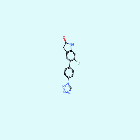 O=C1Cc2cc(-c3ccc(-n4cnnn4)cc3)c(Cl)cc2N1